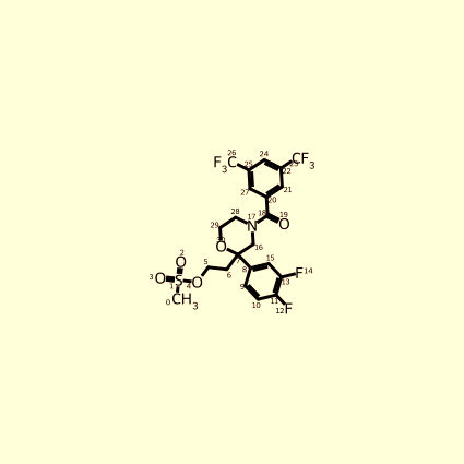 CS(=O)(=O)OCCC1(c2ccc(F)c(F)c2)CN(C(=O)c2cc(C(F)(F)F)cc(C(F)(F)F)c2)CCO1